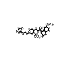 COc1ccc2nccc([C@@H](O)CC[C@@H]3CCN(CCSc4cncn4C)C[C@@H]3CC(=O)O)c2c1